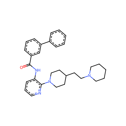 O=C(Nc1cccnc1N1CCC(CCN2CCCCC2)CC1)c1cccc(-c2ccccc2)c1